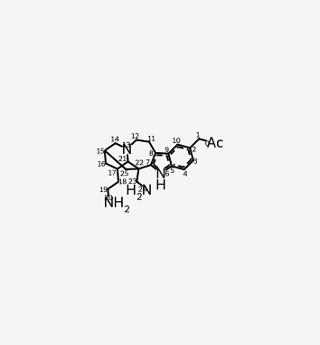 CC(=O)Cc1ccc2[nH]c3c(c2c1)CCN1CC2CC(CCN)C1C3(CN)C2